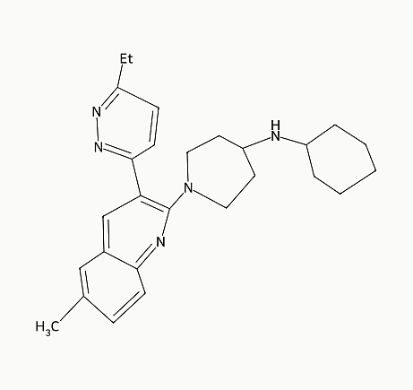 CCc1ccc(-c2cc3cc(C)ccc3nc2N2CCC(NC3CCCCC3)CC2)nn1